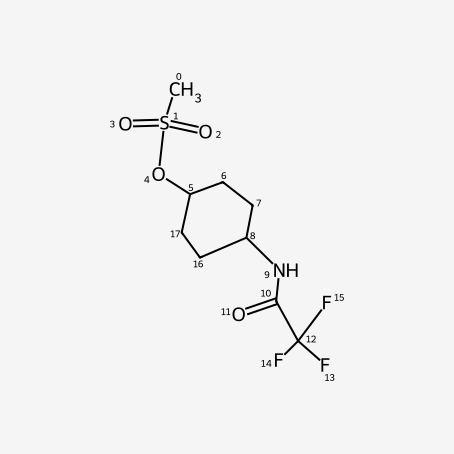 CS(=O)(=O)OC1CCC(NC(=O)C(F)(F)F)CC1